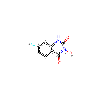 O=c1[nH]c2cc(F)ccc2c(=O)n1O